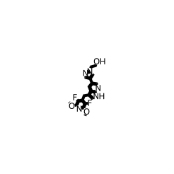 COc1nc(OC)c(F)c(Cc2c[nH]c3ncc(-c4cnn(CCO)c4)cc23)c1F